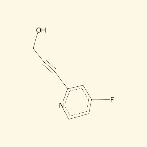 OCC#Cc1cc(F)ccn1